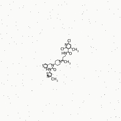 Cc1cc(NC(=O)N(Cc2ccsc2)C2CCN([C@H](C)CCNC(=O)c3c(C)cc(Cl)nc3Cl)CC2)sn1